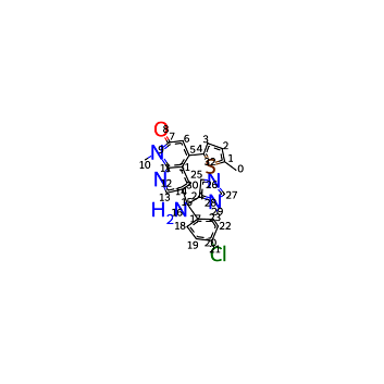 Cc1ccc(-c2cc(=O)n(C)c3ncc([C@](N)(c4ccc(Cl)cc4)c4cncn4C)cc23)s1